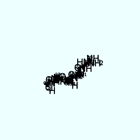 C=C(Cl)C(=O)Nc1cc(C(=O)Nc2cc(C(=O)Nc3cc(C(=O)NCCNC(=N)N)n(C)c3)n(C)c2)n(C)n1